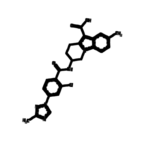 Cc1ccc2c(c1)c(C(=O)O)c1n2CC(NC(=O)c2ccc(-n3cnc(C)n3)cc2Cl)CC1